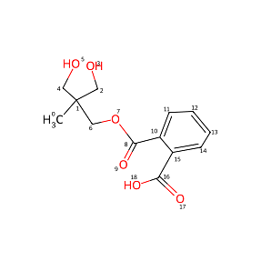 CC(CO)(CO)COC(=O)c1ccccc1C(=O)O